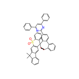 CC1(C)c2ccccc2-c2cc3c(cc21)S(=O)(=O)c1ccccc1C31c2ccccc2-c2ccccc2-c2ccc(-c3nc(-c4ccccc4)cc(-c4ccccc4)n3)cc21